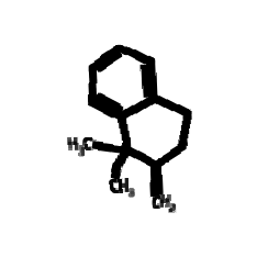 C=C1CCc2ccccc2C1(C)C